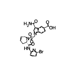 NC(=O)c1cn(CS(=O)(=O)N2CC=CC[C@H]2C(=O)Nc2cccc(Br)n2)c2ccc(C(=O)O)cc12